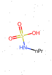 CCCNS(=O)(=O)O